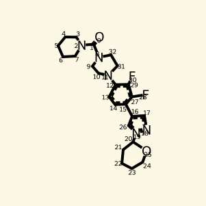 O=C(N1CCCCC1)N1CCN(c2ccc(-c3cnn(C4CCCCO4)c3)c(F)c2F)CC1